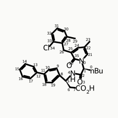 CCCC[C@@H](C(=O)N[C@@H](CC(=O)O)c1ccc(-c2ccccc2)cc1)n1cc(C)cc(Cc2c(C)cccc2Cl)c1=O